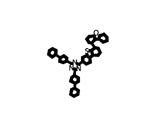 c1ccc(-c2ccc(-c3nc(-c4ccc(-c5ccccc5)cc4)nc(-c4ccc5c(c4)sc4c(-c6cccc7oc8ccccc8c67)cccc45)n3)cc2)cc1